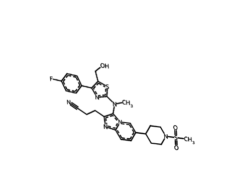 CN(c1nc(-c2ccc(F)cc2)c(CO)s1)c1c(CCC#N)nc2ccc(C3CCN(S(C)(=O)=O)CC3)cn12